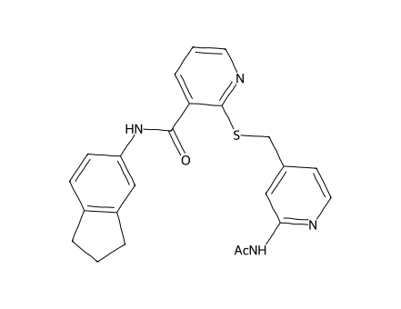 CC(=O)Nc1cc(CSc2ncccc2C(=O)Nc2ccc3c(c2)CCC3)ccn1